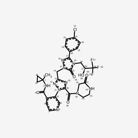 CC1(NC(=O)c2ccncc2-n2nc(Cn3nc(-c4ccc(Cl)cc4)n(C[C@H](O)C(F)(F)F)c3=O)nc2C(=O)N2CCNC(=O)C2)CC1